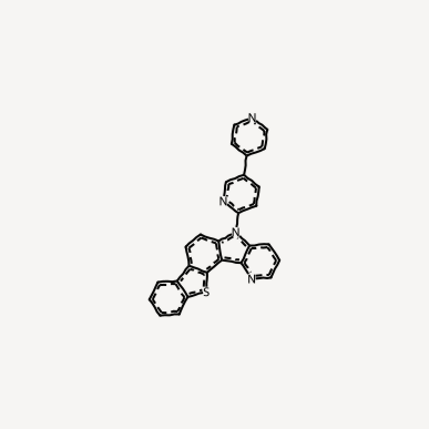 c1ccc2c(c1)sc1c2ccc2c1c1ncccc1n2-c1ccc(-c2ccncc2)cn1